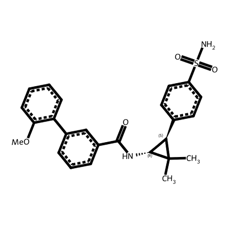 COc1ccccc1-c1cccc(C(=O)N[C@@H]2[C@@H](c3ccc(S(N)(=O)=O)cc3)C2(C)C)c1